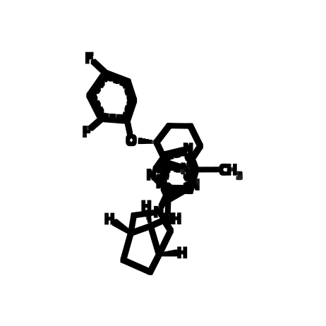 Cc1cc(N2C[C@H]3CC[C@@H](C2)[C@@H]3Nc2nc3n(n2)CCC[C@H]3Oc2ccc(F)cc2F)ncn1